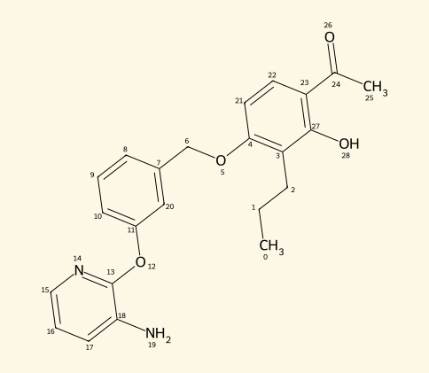 CCCc1c(OCc2cccc(Oc3ncccc3N)c2)ccc(C(C)=O)c1O